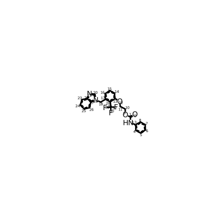 O=C(Nc1ccccc1)OCCOc1cccc(Cn2cnc3ccccc32)c1C(F)(F)F